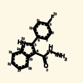 NNC(=O)c1c(-c2ccc(F)cc2)[nH]c2ccccc12